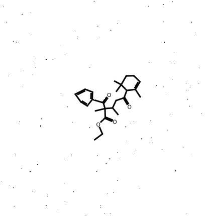 CCOC(=O)C(C)(C(=O)c1ccccc1)C(C)CC(=O)C1C(C)=CCCC1(C)C